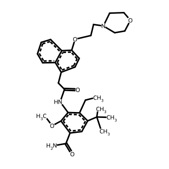 CCc1c(C(C)(C)C)cc(C(N)=O)c(OC)c1NC(=O)Cc1ccc(OCCN2CCOCC2)c2ccccc12